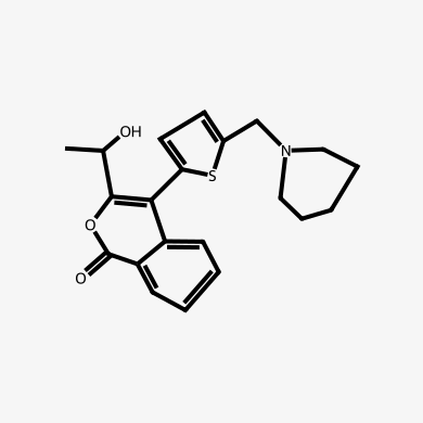 CC(O)c1oc(=O)c2ccccc2c1-c1ccc(CN2CCCCC2)s1